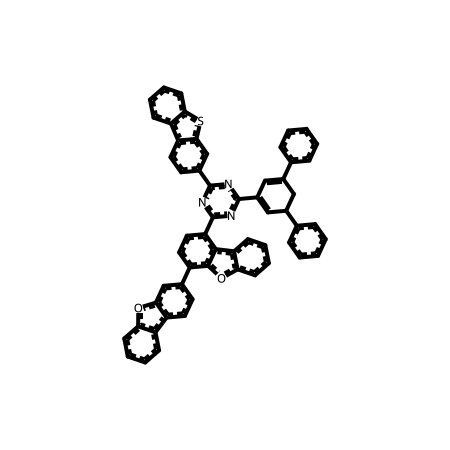 C1=C(c2ccccc2)CC(c2ccccc2)C=C1c1nc(-c2ccc3c(c2)sc2ccccc23)nc(-c2ccc(-c3ccc4c(c3)oc3ccccc34)c3oc4ccccc4c23)n1